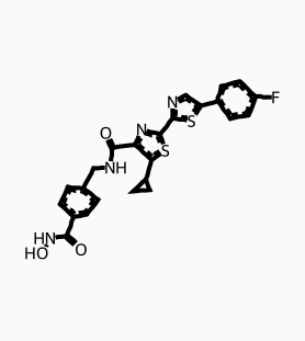 O=C(NO)c1ccc(CNC(=O)c2nc(-c3ncc(-c4ccc(F)cc4)s3)sc2C2CC2)cc1